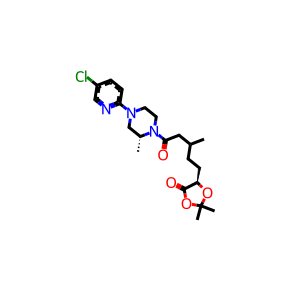 CC(CC[C@H]1OC(C)(C)OC1=O)CC(=O)N1CCN(c2ccc(Cl)cn2)C[C@H]1C